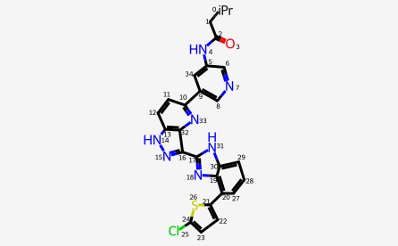 CC(C)CC(=O)Nc1cncc(-c2ccc3[nH]nc(-c4nc5c(-c6ccc(Cl)s6)cccc5[nH]4)c3n2)c1